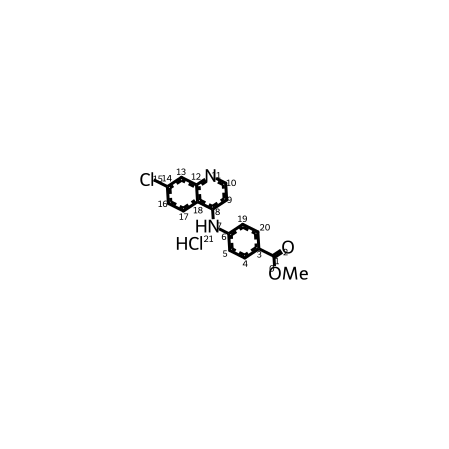 COC(=O)c1ccc(Nc2ccnc3cc(Cl)ccc23)cc1.Cl